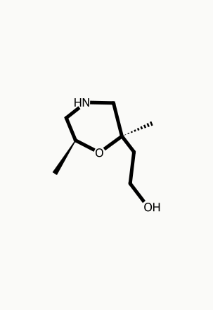 C[C@H]1CNC[C@@](C)(CCO)O1